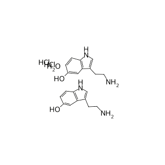 Cl.Cl.NCCc1c[nH]c2ccc(O)cc12.NCCc1c[nH]c2ccc(O)cc12.O